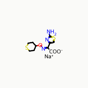 Nc1nc(C(=NOC2CCSCC2)C(=O)[O-])cs1.[Na+]